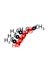 Cc1ccc(C(=O)OC(C)COCC(COCC(COCC(CO)OC(=O)c2ccc(C)cc2)OC(=O)c2ccc(C)cc2)OC(=O)c2ccc(C)cc2)cc1